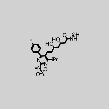 CC(C)c1nc(N(C)S(C)(=O)=O)nc(-c2ccc(F)cc2)c1C=C[C@@H](O)C[C@@H](O)CC(=O)NO